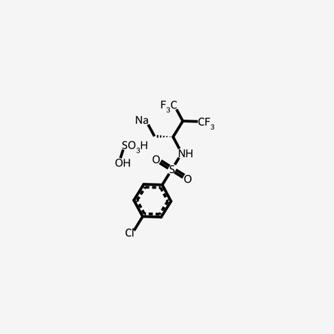 O=S(=O)(N[C@H]([CH2][Na])C(C(F)(F)F)C(F)(F)F)c1ccc(Cl)cc1.O=S(=O)(O)O